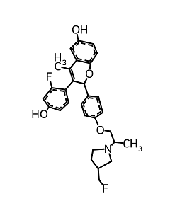 CC1=C(c2ccc(O)cc2F)C(c2ccc(OCC(C)N3CCC(CF)C3)cc2)Oc2ccc(O)cc21